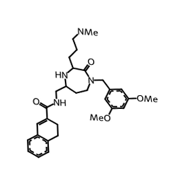 CNCCCC1NC(CNC(=O)C2=Cc3ccccc3CC2)CCN(Cc2cc(OC)cc(OC)c2)C1=O